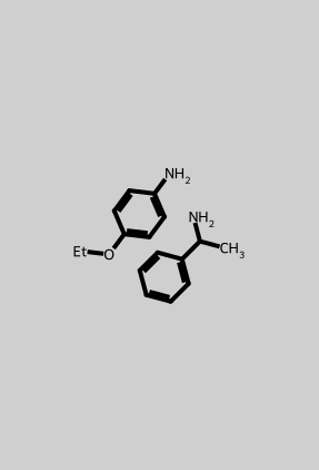 CC(N)c1ccccc1.CCOc1ccc(N)cc1